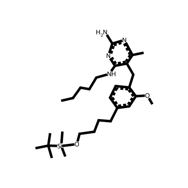 CCCCCNc1nc(N)nc(C)c1Cc1ccc(CCCCO[Si](C)(C)C(C)(C)C)cc1OC